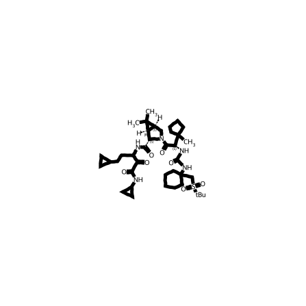 CC1([C@H](NC(=O)NC2(CS(=O)(=O)C(C)(C)C)CCCCC2)C(=O)N2C[C@H]3[C@@H]([C@H]2C(=O)NC(CCC2CC2)C(=O)C(=O)NC2CC2)C3(C)C)CCCC1